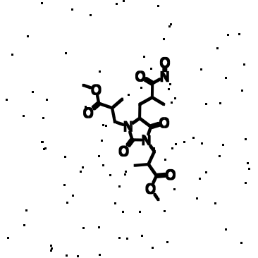 COC(=O)C(C)CN1C(=O)C(CC(C)C(=O)N=O)N(CC(C)C(=O)OC)C1=O